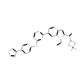 C=Cn1c(C(=O)C2CC(F)(F)C2)cc2ccc(-c3nccc(Nc4ccc(-c5cn[nH]c5)cc4)n3)cc21